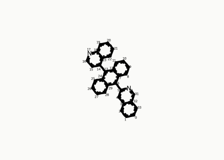 c1ccc2cc(-c3c4ccccc4c(-c4ccnc5ccccc45)c4ccccc34)ncc2c1